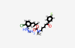 CC(=O)N(CCCCC(=O)c1ccc(F)cc1)C(=O)OC(C)(C)Cc1ccc(Cl)c(NN)c1